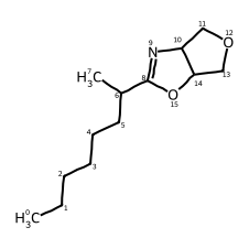 CCCCCCC(C)C1=NC2COCC2O1